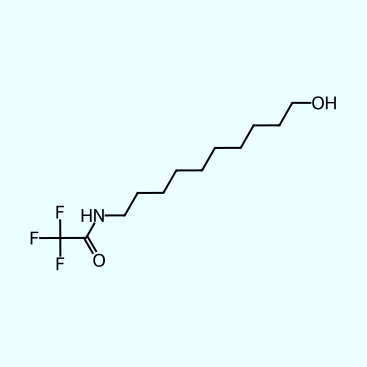 O=C(NCCCCCCCCCCO)C(F)(F)F